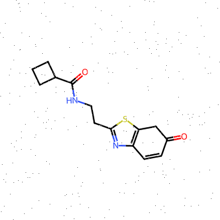 O=C1C=Cc2nc(CCNC(=O)C3CCC3)sc2C1